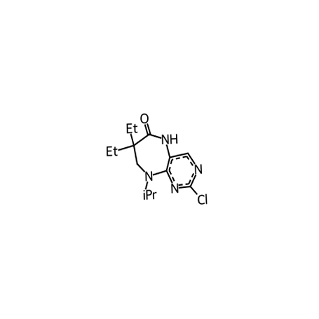 CCC1(CC)CN(C(C)C)c2nc(Cl)ncc2NC1=O